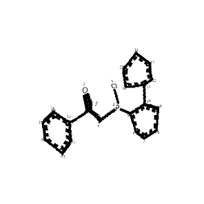 O=C(CP(Cl)c1ccccc1-c1ccccc1)c1ccccc1